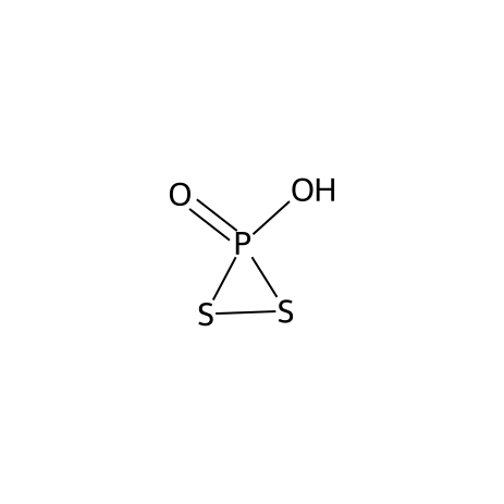 O=P1(O)SS1